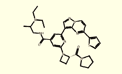 CCN(CC)C(C)CNC(=O)c1cc(-c2cnn3ccc(-c4cccs4)nc23)nc(N2CC[C@H]2C(=O)N2CCCC2)c1